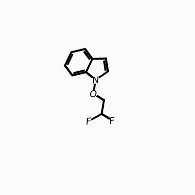 FC(F)COn1ccc2ccccc21